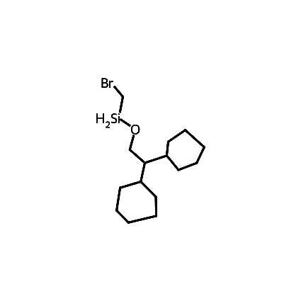 BrC[SiH2]OCC(C1CCCCC1)C1CCCCC1